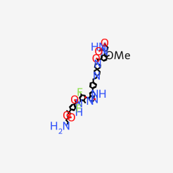 COc1ccc(C(=O)N2CCC3(CCN(CCc4ccc(-c5cc6c(-c7cc(F)cc(NC(=O)c8ccc(C(C)(C)OC(=O)CCN)cc8F)c7C)ncnc6[nH]5)cc4)CC3)CC2)cc1N1CCC(=O)NC1=O